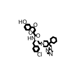 O=C(N[C@H](CCN1CCC(Cn2cncn2)(C2CCCCC2)CC1)Cc1ccc(Cl)cc1)c1cc(=O)c2cc(O)ccc2o1